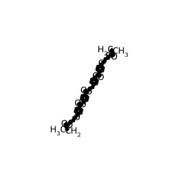 C=C(C)C(=O)OCCCOc1ccc(C(=O)Oc2ccc(CCOC(=O)c3ccc(OC(=O)c4ccc(OCCCOC(=O)C(=C)C)cc4)cc3)cc2)cc1